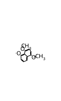 COc1ccc(OC)c2c([O])cccc12